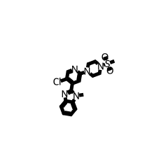 Cn1c(-c2cc(N3CCN(S(C)(=O)=O)CC3)ncc2Cl)nc2ccccc21